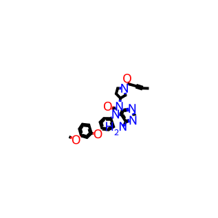 CC#CC(=O)N1CCC(n2c(=O)n(-c3ccc(Oc4cccc(OC)c4)cc3)c3c(N)ncnc32)C1